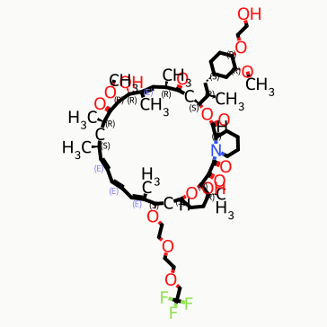 CO[C@@H]1C[C@H](C[C@@H](C)[C@@H]2CC(=O)[C@H](C)/C=C(\C)[C@@H](O)[C@@H](OC)C(=O)[C@H](C)C[C@H](C)/C=C/C=C/C=C(\C)[C@@H](OCCOCCOCC(F)(F)F)C[C@@H]3CC[C@@H](C)[C@@](O)(O3)C(=O)C(=O)N3CCCC[C@H]3C(=O)O2)CC[C@H]1OCCO